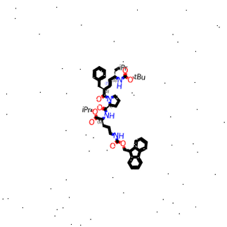 CC(C)C[C@@H](/C=C/[C@H](Cc1ccccc1)C(=O)N1CCC[C@H]1C(=O)N[C@@H](CCCNC(=O)OCC1c2ccccc2-c2ccccc21)C(=O)OC(C)C)NC(=O)OC(C)(C)C